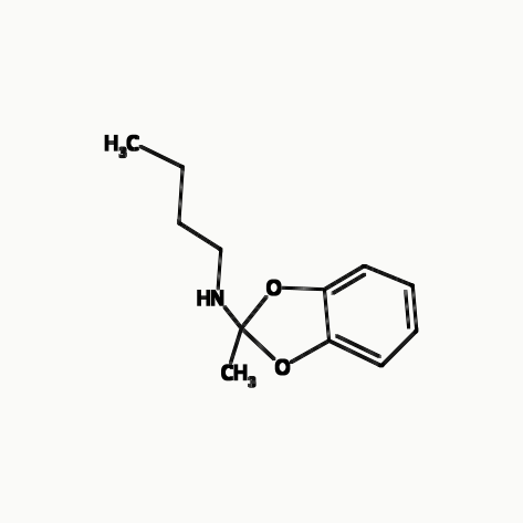 CCCCNC1(C)Oc2ccccc2O1